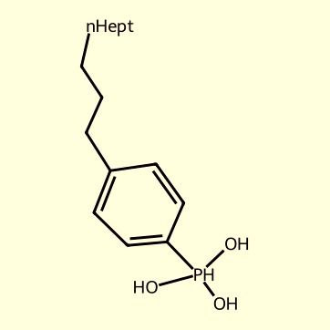 CCCCCCCCCCc1ccc([PH](O)(O)O)cc1